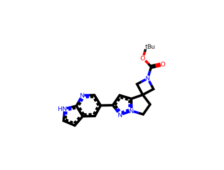 CC(C)(C)OC(=O)N1CC2(CCn3nc(-c4cnc5[nH]ccc5c4)cc32)C1